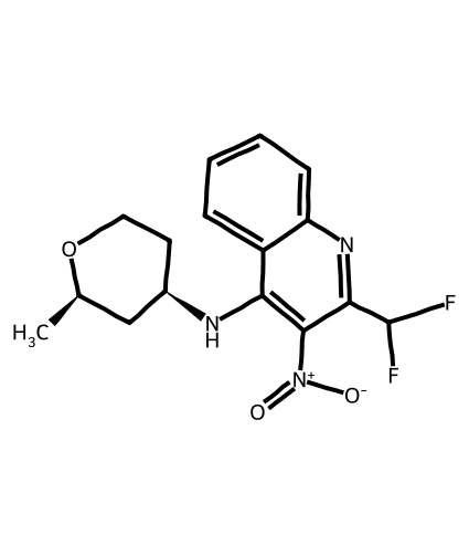 C[C@@H]1C[C@H](Nc2c([N+](=O)[O-])c(C(F)F)nc3ccccc23)CCO1